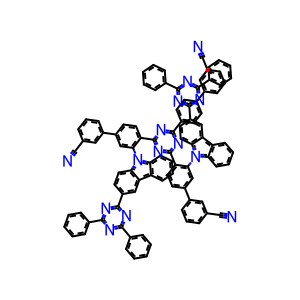 N#Cc1cccc(-c2ccc(-c3nc(-c4ccc(-c5cccc(C#N)c5)cc4-n4c5ccccc5c5cc(-c6nc(-c7ccccc7)nc(-c7ccccc7)n6)ccc54)nc(-c4ccc(-c5cccc(C#N)c5)cc4-n4c5ccccc5c5cc(-c6nc(-c7ccccc7)nc(-c7ccccc7)n6)ccc54)n3)cc2)c1